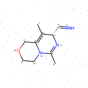 CC1=N[C@@H](C=N)C(C)=C2COCCN12